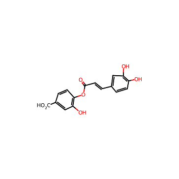 O=C(C=Cc1ccc(O)c(O)c1)Oc1ccc(C(=O)O)cc1O